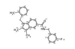 Cc1ccccc1Cn1c(C)c(C)c2cc(C(=O)NCc3cccc(F)c3)ccc21